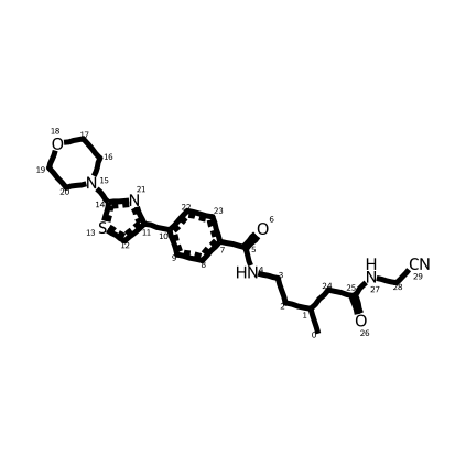 CC(CCNC(=O)c1ccc(-c2csc(N3CCOCC3)n2)cc1)CC(=O)NCC#N